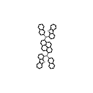 c1ccc2cc(N(c3ccc4ccc5c(N(c6ccc7ccccc7c6)c6cccc7c6oc6ccccc67)ccc6ccc3c4c65)c3cccc4c3oc3ccccc34)ccc2c1